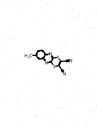 Cc1ccc2nc3c(nc2c1)SC(C#N)=C(C#N)S3